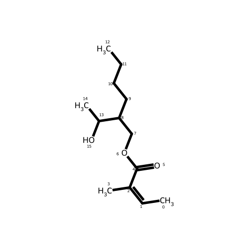 CC=C(C)C(=O)OCC(CCCC)C(C)O